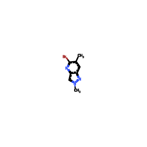 Cc1cc2nn(C)cc2nc1Br